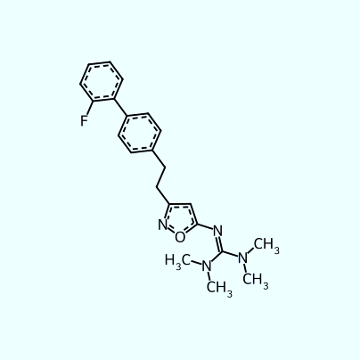 CN(C)C(=Nc1cc(CCc2ccc(-c3ccccc3F)cc2)no1)N(C)C